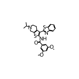 COc1cc(OC)cc(C(=O)Nc2sc3c(c2-c2nc4ccccc4s2)CCN(C(C)C)C3)c1